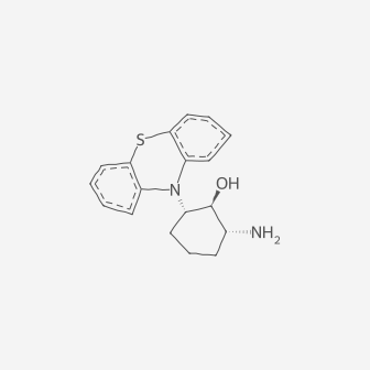 N[C@@H]1CCC[C@H](N2c3ccccc3Sc3ccccc32)[C@H]1O